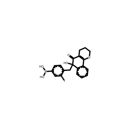 O=C1C2=C(OCCC2)c2ccccc2C1(O)Cc1ccc(B(O)O)cc1I